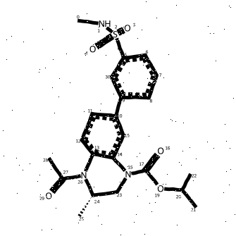 CNS(=O)(=O)c1cccc(-c2ccc3c(c2)N(C(=O)OC(C)C)C[C@H](C)N3C(C)=O)c1